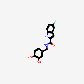 O=C(NCc1ccc(O)c(O)c1)c1cc2cc(F)ccc2[nH]1